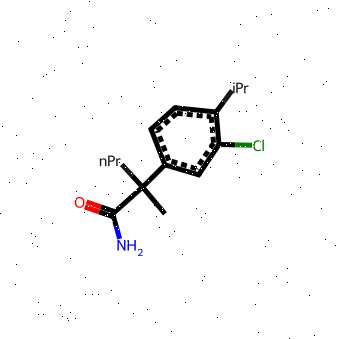 CCCC(C)(C(N)=O)c1ccc(C(C)C)c(Cl)c1